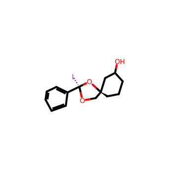 OC1CCC[C@]2(CO[C@@](I)(c3ccccc3)O2)C1